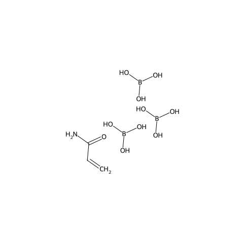 C=CC(N)=O.OB(O)O.OB(O)O.OB(O)O